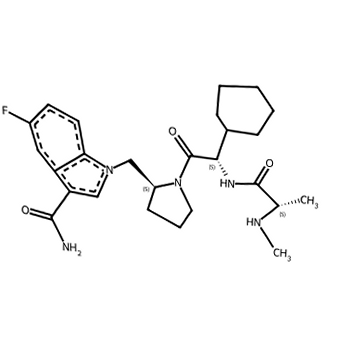 CN[C@@H](C)C(=O)N[C@H](C(=O)N1CCC[C@H]1Cn1cc(C(N)=O)c2cc(F)ccc21)C1CCCCC1